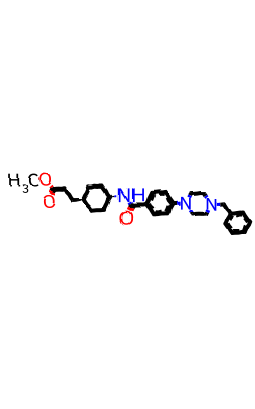 COC(=O)CC[C@H]1CC[C@H](NC(=O)c2ccc(N3CCN(Cc4ccccc4)CC3)cc2)CC1